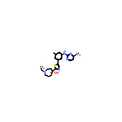 Cc1cc(Nc2nccc(C(F)(F)F)n2)cc(-c2cnc([C@@]3(O)CCCN(CC(F)(F)F)CC3)s2)c1